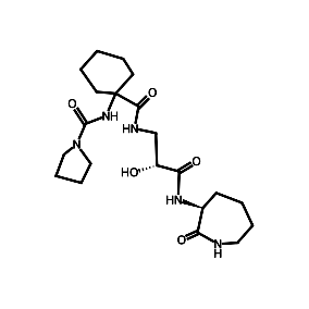 O=C(N[C@H]1CCCCNC1=O)[C@H](O)CNC(=O)C1(NC(=O)N2CCCC2)CCCCC1